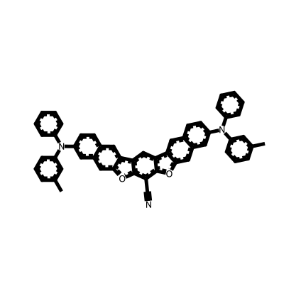 Cc1cccc(N(c2ccccc2)c2ccc3cc4c(cc3c2)oc2c(C#N)c3oc5cc6cc(N(c7ccccc7)c7cccc(C)c7)ccc6cc5c3cc24)c1